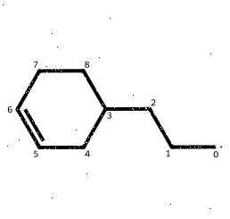 [CH2]CCC1CC=CCC1